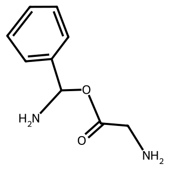 NCC(=O)OC(N)c1ccccc1